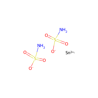 NS(=O)(=O)[O-].NS(=O)(=O)[O-].[Sn+2]